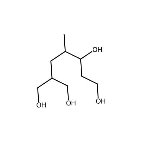 CC(CC(CO)CO)C(O)CCO